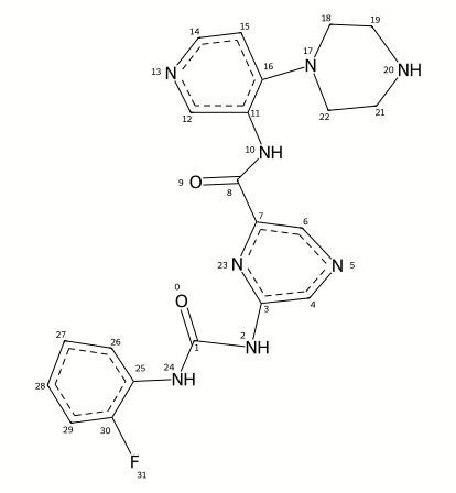 O=C(Nc1cncc(C(=O)Nc2cnccc2N2CCNCC2)n1)Nc1ccccc1F